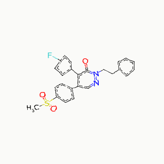 CS(=O)(=O)c1ccc(-c2cnn(CCc3ccccc3)c(=O)c2-c2ccc(F)cc2)cc1